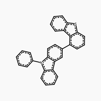 c1ccc(-n2c3ccccc3c3cc(-c4cccc5sc6ccccc6c45)ccc32)cc1